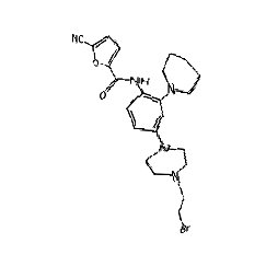 N#Cc1ccc(C(=O)Nc2ccc(N3CCN(CCBr)CC3)cc2N2CCCCC2)o1